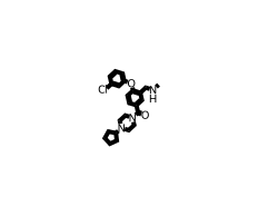 CNCc1cc(C(=O)N2CCN(C3CCCC3)CC2)ccc1Oc1cccc(Cl)c1